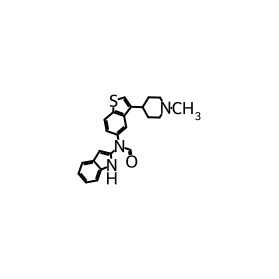 CN1CCC(c2csc3ccc(N(C=O)c4cc5ccccc5[nH]4)cc23)CC1